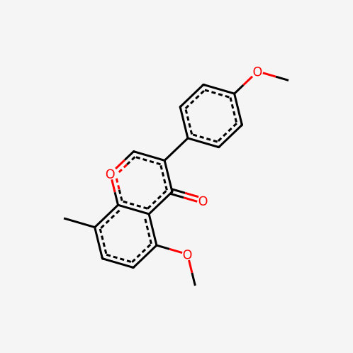 COc1ccc(-c2coc3c(C)ccc(OC)c3c2=O)cc1